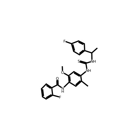 COc1cc(NC(=S)NC(C)c2ccc(F)cc2)c(C)cc1NC(=O)c1ccccc1F